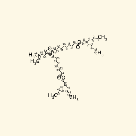 CCCCCC(CCCCC)CCOC(=O)CCCCCCCCCC1(CCCCCCCCCC(=O)OCCC(CCCCC)CCCCC)OCC(CCN(C)CC)O1